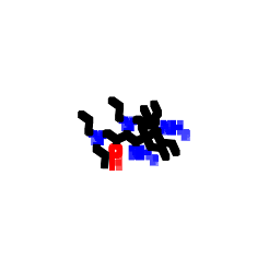 CCCN(CCC)CC(O)C(C(N)C(CCC)(CCC)C(N)(CCC)CCC)N(CCC)CCC